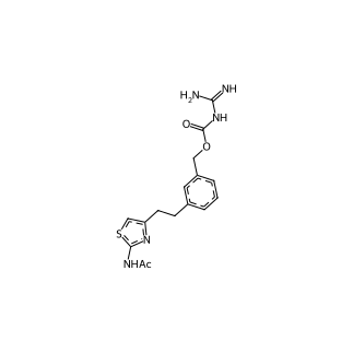 CC(=O)Nc1nc(CCc2cccc(COC(=O)NC(=N)N)c2)cs1